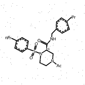 CCCc1ccc(S(=O)(=O)N2CCN(C(C)=O)C[C@@H]2C(=O)NCc2ccc(C(C)C)cc2)cc1